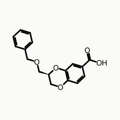 O=C(O)c1ccc2c(c1)O[C@H](COCc1ccccc1)CO2